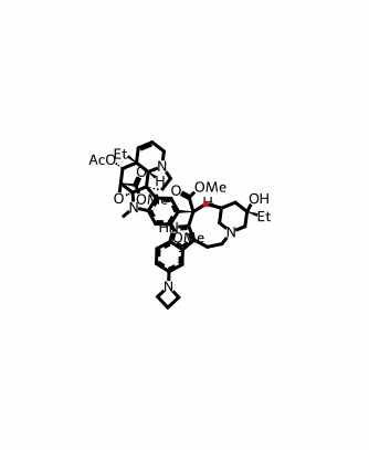 CC[C@]1(O)C[C@H]2CN(CCc3c([nH]c4ccc(N5CCC5)cc34)[C@@](C(=O)OC)(c3cc4c(cc3OC)N(C)[C@@]35O[C@]3(C(=O)OC)[C@H](OC(C)=O)[C@]3(CC)C=CCN6CC[C@]45[C@@H]63)C2)C1